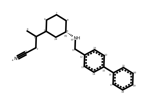 CC(CC#N)C1CCC[C@H](NCc2ccc(-c3ccccc3)cc2)C1